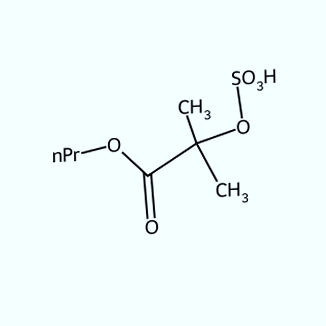 CCCOC(=O)C(C)(C)OS(=O)(=O)O